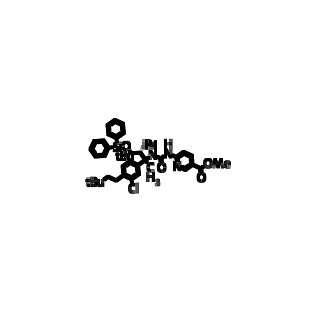 COC(=O)c1ccc(NC(=O)NC(C)(c2ccc(CCC(C)(C)C)c(Cl)c2)[C@H](CO[Si](c2ccccc2)(c2ccccc2)C(C)(C)C)C(C)C)nc1